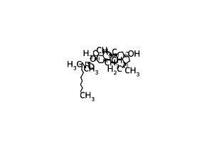 C=C(C)[C@@H]1CC[C@]2(CO)CC[C@]3(C)C(CCC4[C@@]5(C)CC[C@H](OC(=O)C[N+](C)(C)CCCCCCCC)C(C)(C)C5CC[C@]43C)C12